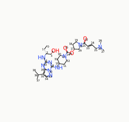 CC[C@H](CO)Nc1nc(NC2CCN(C(=O)O[C@H]3CCN(C(=O)/C=C/CN(C)C)C3)CC2)n2ncc(C(C)C)c2n1